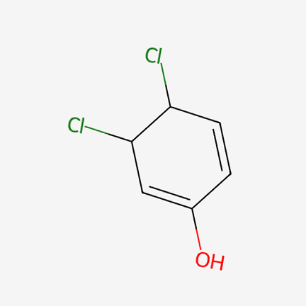 OC1=CC(Cl)C(Cl)C=C1